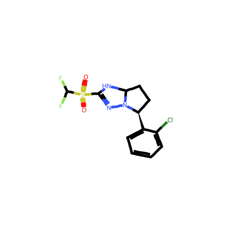 O=S(=O)(C1=NN2C(CC[C@H]2c2ccccc2Cl)N1)C(F)F